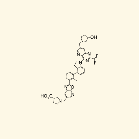 Cc1c(-c2nc3cc(CN4CCC(C(=O)O)C4)cnc3o2)cccc1-c1cccc2c1CCN2c1nc(C(F)F)nc2cc(CN3CCC(O)C3)cnc12